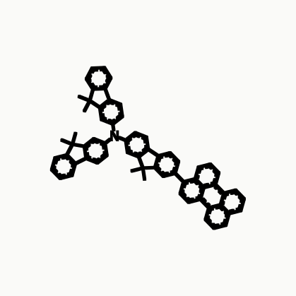 CC1(C)c2ccccc2-c2ccc(N(c3ccc4c(c3)C(C)(C)c3ccccc3-4)c3ccc4c(c3)C(C)(C)c3cc(-c5ccc6c7cccc8cccc(c9cccc5c96)c87)ccc3-4)cc21